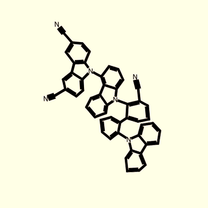 N#Cc1ccc2c(c1)c1cc(C#N)ccc1n2-c1cccc2c1c1ccccc1n2-c1c(C#N)cccc1-c1ccccc1-n1c2ccccc2c2ccccc21